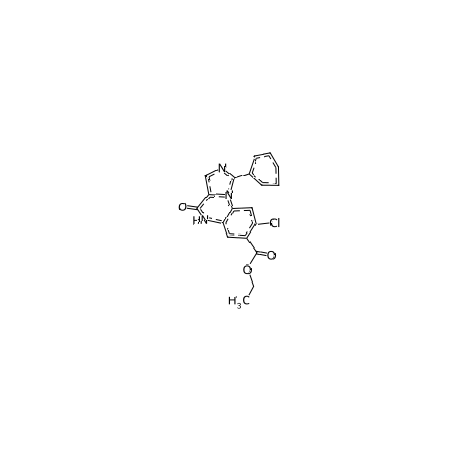 CCOC(=O)c1cc2[nH]c(=O)c3cnc(-c4ccccc4)n3c2cc1Cl